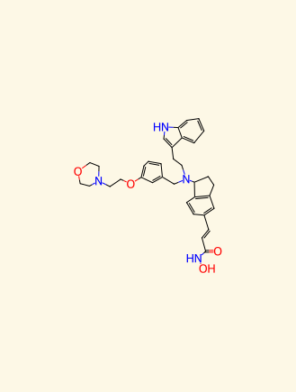 O=C(C=Cc1ccc2c(c1)CCC2N(CCc1c[nH]c2ccccc12)Cc1cccc(OCCN2CCOCC2)c1)NO